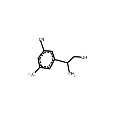 [CH2]C(CO)c1cc(C)cc(C#N)c1